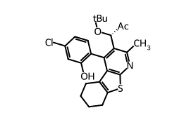 CC(=O)[C@@H](OC(C)(C)C)c1c(C)nc2sc3c(c2c1-c1ccc(Cl)cc1O)CCCC3